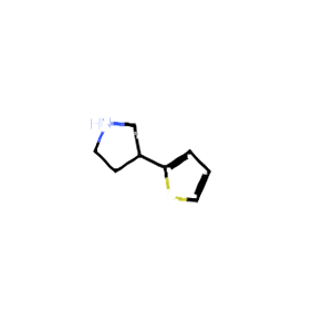 [CH]1NCCC1c1cccs1